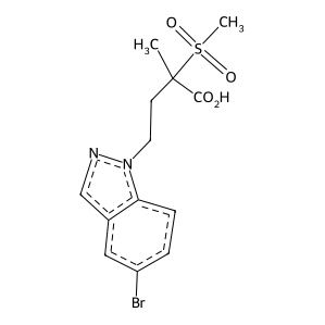 CC(CCn1ncc2cc(Br)ccc21)(C(=O)O)S(C)(=O)=O